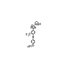 CCCOc1ccc(C#Cc2ccc(-c3noc([C@@H]4CCCN4)n3)cc2C(F)(F)F)cc1